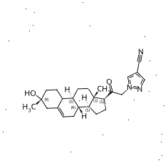 C[C@@]1(O)CCC2C(=CC[C@@H]3[C@@H]2CC[C@]2(C)[C@@H](C(=O)Cn4cc(C#N)cn4)CC[C@@H]32)C1